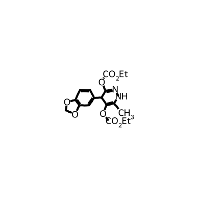 CCOC(=O)OC1=NNC(C)=C(OC(=O)OCC)C1c1ccc2c(c1)OCO2